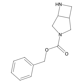 O=C(OCc1ccccc1)N1CC2CNC2C1